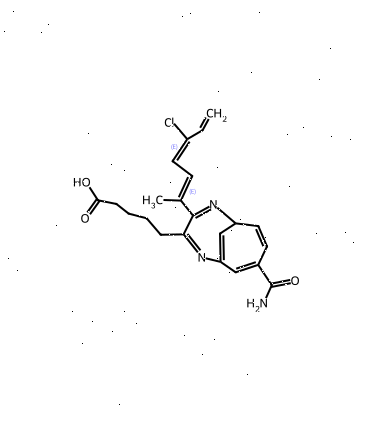 C=C/C(Cl)=C\C=C(/C)C1=NC2C=CC(C(N)=O)=CC(=C2)N=C1CCCCC(=O)O